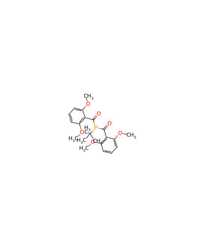 COc1cccc(OC)c1C(=O)P(C(=O)c1c(OC)cccc1OC)C(C)(C)C